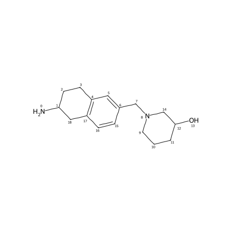 NC1CCc2cc(CN3CCCC(O)C3)ccc2C1